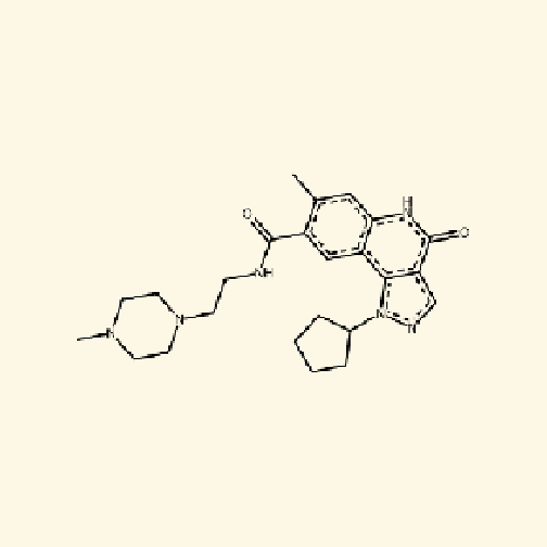 Cc1cc2[nH]c(=O)c3cnn(C4CCCC4)c3c2cc1C(=O)NCCN1CCN(C)CC1